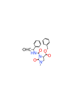 CN1CC(C(=O)OCc2ccccc2)N(C(=O)NC([C]=O)c2ccccc2)C1=O